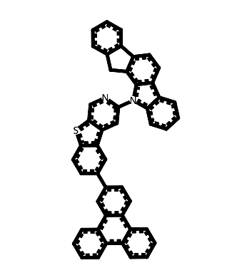 c1ccc2c(c1)Cc1c-2ccc2c3ccccc3n(-c3cc4c(cn3)sc3ccc(-c5ccc6c7ccccc7c7ccccc7c6c5)cc34)c12